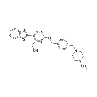 CN1CCN(Cc2ccc(COc3ncc(-c4nc5ccccc5s4)c(CC#N)n3)cc2)CC1